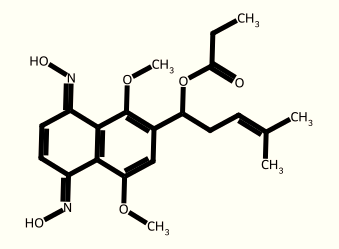 CCC(=O)OC(CC=C(C)C)c1cc(OC)c2c(c1OC)C(=NO)C=CC2=NO